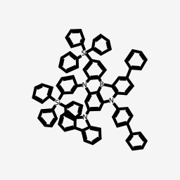 c1ccc(-c2ccc(N3c4ccc(-c5ccccc5)cc4B4c5ccc([Si](c6ccccc6)(c6ccccc6)c6ccccc6)cc5N(c5cccc([Si](c6ccccc6)(c6ccccc6)c6ccccc6)c5)c5cc(-n6c7ccccc7c7ccccc76)cc3c54)cc2)cc1